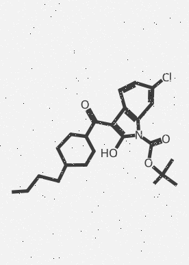 CCCCC1CCC(C(=O)c2c(O)n(C(=O)OC(C)(C)C)c3cc(Cl)ccc23)CC1